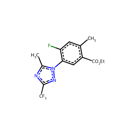 CCOC(=O)c1cc(-n2nc(C(F)(F)F)nc2C)c(F)cc1C